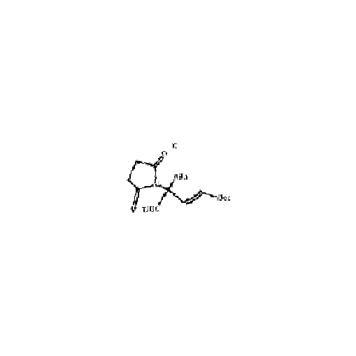 CCCCCCCCCC/C=C/C(CCCC)(C(=O)[O-])N1C(=O)CCC1=O.[K+]